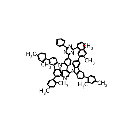 Cc1ccc(-c2ccc3c(c2)c2cc(-c4ccc(C)cc4C)ccc2n3-c2cnccc2-c2ccc(-c3nc(-c4ccccc4)nc(-c4ccccc4)n3)cc2-n2c3ccc(-c4ccc(C)cc4C)cc3c3cc(-c4ccc(C)cc4C)ccc32)c(C)c1